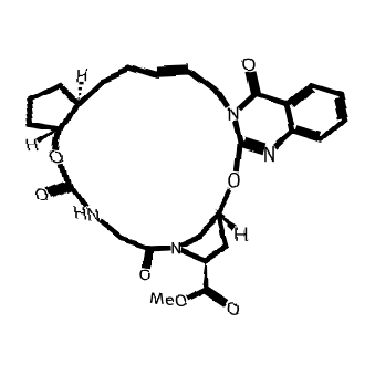 COC(=O)[C@@H]1C[C@@H]2CN1C(=O)CNC(=O)O[C@@H]1CCC[C@H]1CC/C=C/Cn1c(nc3ccccc3c1=O)O2